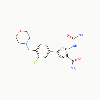 NC(=O)Nc1sc(-c2ccc(CN3CCOCC3)c(F)c2)cc1C(N)=O